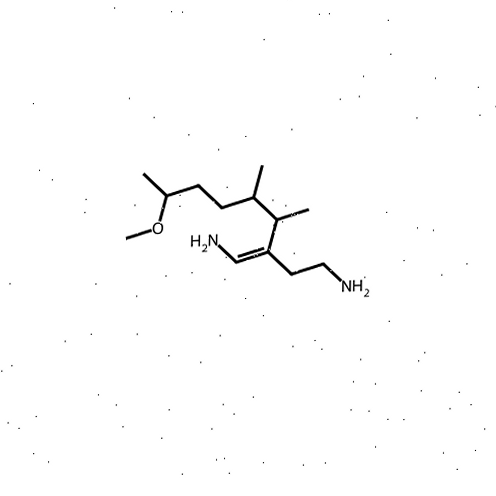 COC(C)CCC(C)C(C)/C(=C\N)CCN